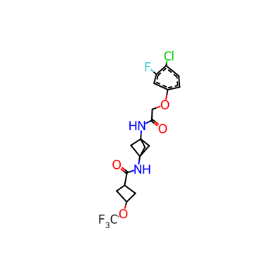 O=C(COc1ccc(Cl)c(F)c1)NC12CC(NC(=O)C3CC(OC(F)(F)F)C3)(C1)C2